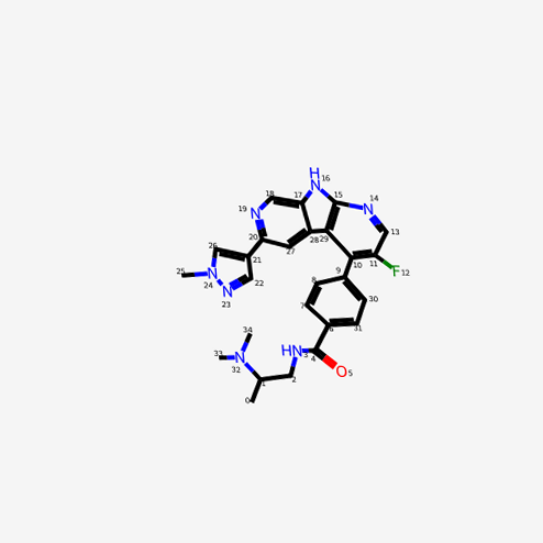 CC(CNC(=O)c1ccc(-c2c(F)cnc3[nH]c4cnc(-c5cnn(C)c5)cc4c23)cc1)N(C)C